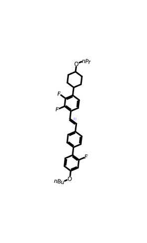 CCCCOc1ccc(-c2ccc(/C=C/c3ccc(C4CCC(OCCC)CC4)c(F)c3F)cc2)c(F)c1